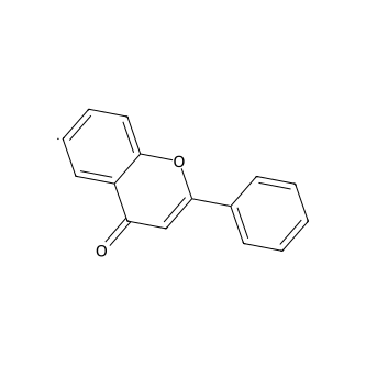 O=c1cc(-c2ccccc2)oc2cc[c]cc12